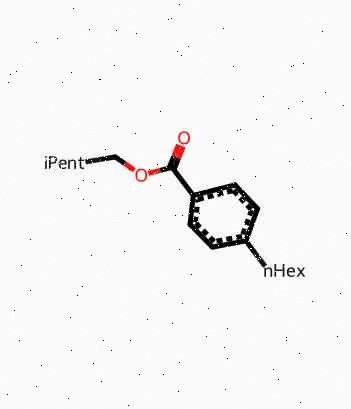 CCCCCCc1ccc(C(=O)OCC(C)CCC)cc1